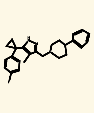 Cc1c(CN2CCC(c3ccccc3)CC2)n[nH]c1C1(c2ccc(F)cc2)CC1